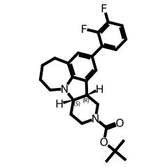 CC(C)(C)OC(=O)N1CC[C@H]2[C@@H](C1)c1cc(-c3cccc(F)c3F)cc3c1N2CCCC3